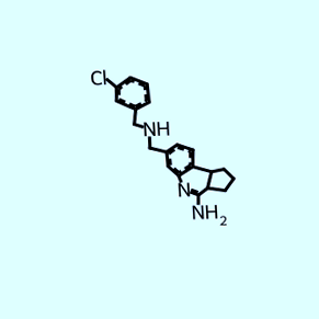 NC1=Nc2cc(CNCc3cccc(Cl)c3)ccc2C2CCCC12